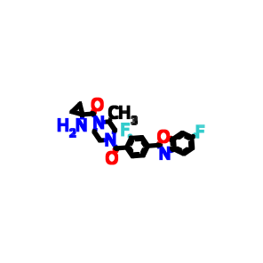 C[C@H]1CN(C(=O)c2ccc(-c3nc4ccc(F)cc4o3)cc2F)CCN1C(=O)C1(N)CC1